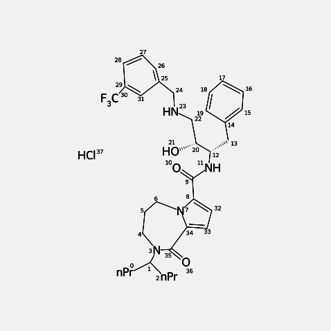 CCCC(CCC)N1CCCn2c(C(=O)N[C@@H](Cc3ccccc3)[C@H](O)CNCc3cccc(C(F)(F)F)c3)ccc2C1=O.Cl